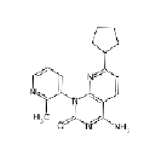 Cc1ncccc1-n1c(=O)nc(N)c2ccc(C3CCCC3)nc21